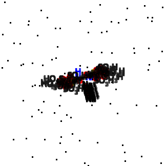 O=C(CCCCC(=O)Nc1ccc(S[C@@H]2O[C@H](COS(=O)(=O)O)[C@@H](O[C@@H]3O[C@H](COS(=O)(=O)O)[C@@H](OS(=O)(=O)O)[C@H](OS(=O)(=O)O)[C@H]3OS(=O)(=O)O)[C@H](OS(=O)(=O)O)[C@H]2OS(=O)(=O)O)cc1)Nc1ccc(S[C@@H]2O[C@H](COS(=O)(=O)O)[C@@H](O[C@@H]3O[C@H](COS(=O)(=O)O)[C@@H](OS(=O)(=O)O)[C@H](OS(=O)(=O)O)[C@H]3OS(=O)(=O)O)[C@H](OS(=O)(=O)O)[C@H]2OS(=O)(=O)O)cc1.[Na+].[Na+].[Na+].[Na+].[Na+].[Na+].[Na+].[Na+].[Na+].[Na+].[Na+].[Na+].[Na+].[Na+]